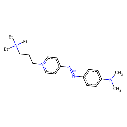 CC[N+](CC)(CC)CCC[n+]1ccc(/N=N/c2ccc(N(C)C)cc2)cc1